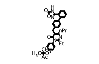 CCCc1nc(CC)n(-c2ccc(OC(C)(C)C(C)=O)cc2)c(=O)c1Cc1ccc(-c2ccccc2-c2noc(=O)[nH]2)cc1